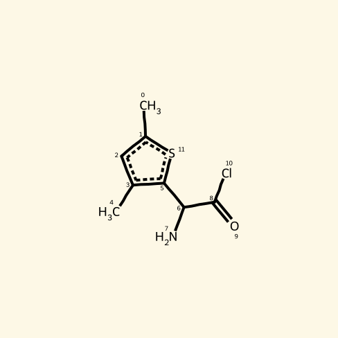 Cc1cc(C)c(C(N)C(=O)Cl)s1